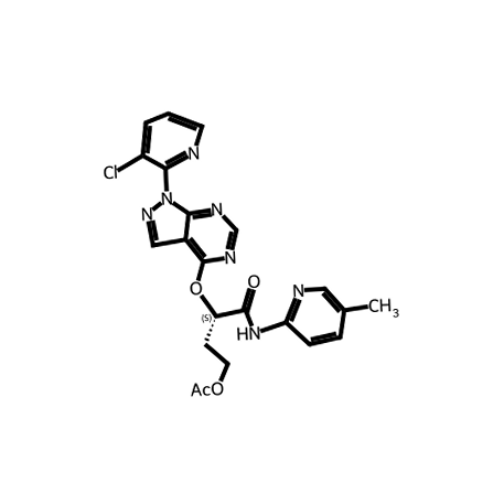 CC(=O)OCC[C@H](Oc1ncnc2c1cnn2-c1ncccc1Cl)C(=O)Nc1ccc(C)cn1